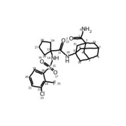 NC(=O)C12CC3CC(CC(NC(=O)C4(NS(=O)(=O)c5cccc(Cl)c5F)CCCC4)(C3)C1)C2